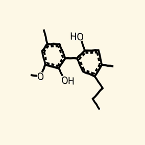 CCCc1cc(-c2cc(C)cc(OC)c2O)c(O)cc1C